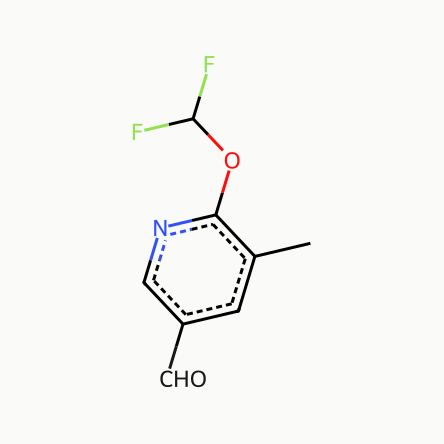 Cc1cc(C=O)cnc1OC(F)F